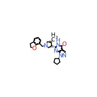 C[C@@H]1CN(Cc2cccc3c2OCC3)C[C@H]1c1nc2c(cnn2C2CCCC2)c(=O)[nH]1